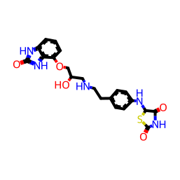 O=C1NC(=O)C(Nc2ccc(CCNCC(O)COc3cccc4[nH]c(=O)[nH]c34)cc2)S1